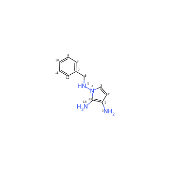 Nc1ccn(NCc2ccccc2)c1N